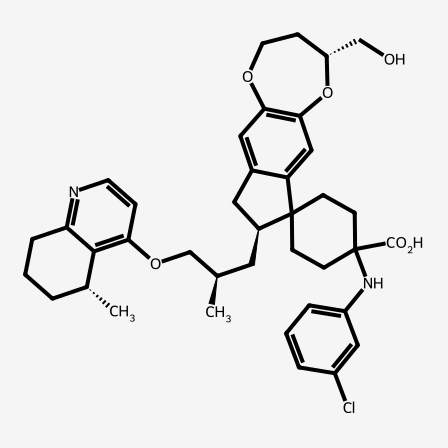 C[C@@H](COc1ccnc2c1[C@H](C)CCC2)C[C@H]1Cc2cc3c(cc2C12CCC(Nc1cccc(Cl)c1)(C(=O)O)CC2)O[C@@H](CO)CCO3